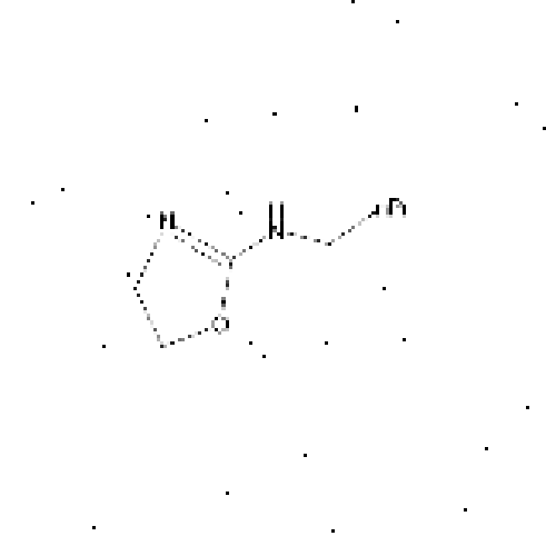 CCCCNC1=NCCO1